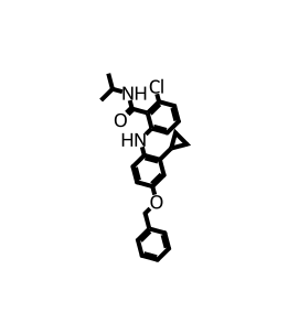 CC(C)NC(=O)c1c(Cl)cccc1Nc1ccc(OCc2ccccc2)cc1C1CC1